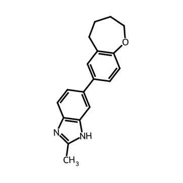 Cc1nc2ccc(-c3ccc4c(c3)CCCCO4)cc2[nH]1